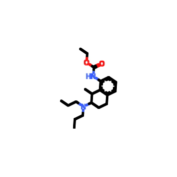 CCCN(CCC)C1CCc2cccc(NC(=O)OCC)c2C1C